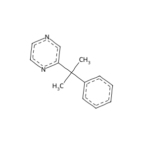 CC(C)(c1ccccc1)c1cnccn1